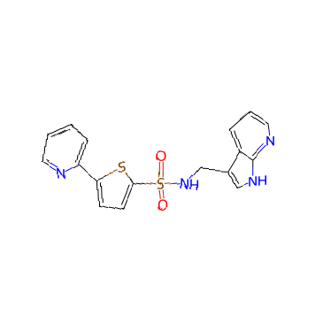 O=S(=O)(NCc1c[nH]c2ncccc12)c1ccc(-c2ccccn2)s1